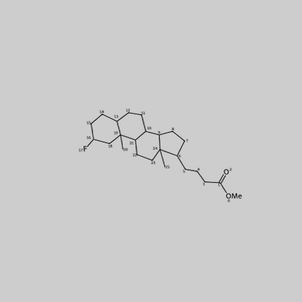 COC(=O)CCCC1CCC2C3CCC4CCC(F)CC4(C)C3CCC12C